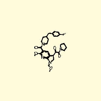 COCN1CC(C(=O)C(=O)N2CCCC2)c2cc(C(=O)N3CCC(Cc4ccc(F)cc4)CC3)c(OC)nc21